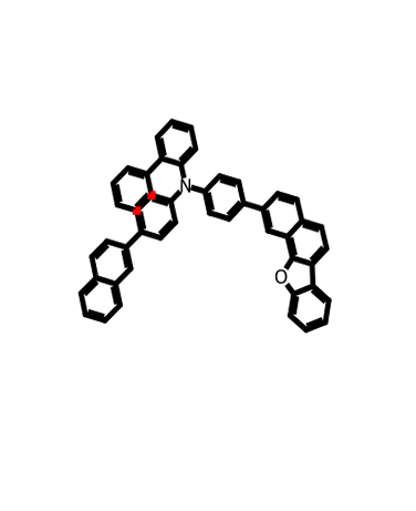 c1ccc(-c2ccccc2N(c2ccc(-c3ccc4ccccc4c3)cc2)c2ccc(-c3ccc4ccc5c6ccccc6oc5c4c3)cc2)cc1